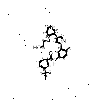 Cc1ccc(NC(=O)c2cccc(C(F)(F)F)c2)cc1-n1cc(-c2cnccc2OCCO)cn1